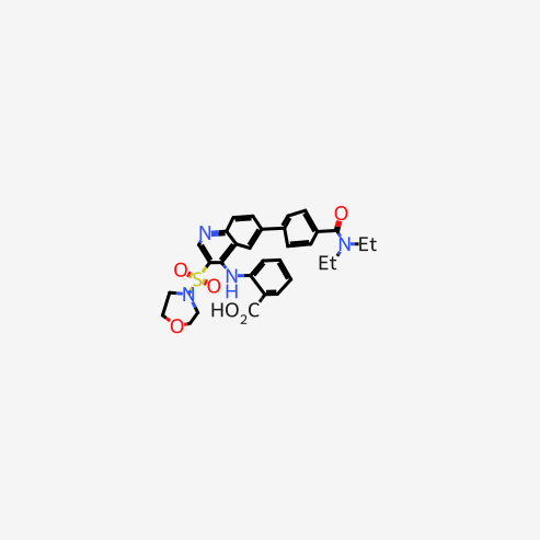 CCN(CC)C(=O)c1ccc(-c2ccc3ncc(S(=O)(=O)N4CCOCC4)c(Nc4ccccc4C(=O)O)c3c2)cc1